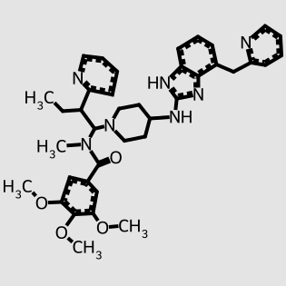 CCC(c1ccccn1)C(N1CCC(Nc2nc3c(Cc4ccccn4)cccc3[nH]2)CC1)N(C)C(=O)c1cc(OC)c(OC)c(OC)c1